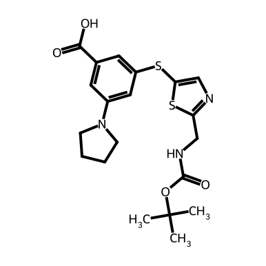 CC(C)(C)OC(=O)NCc1ncc(Sc2cc(C(=O)O)cc(N3CCCC3)c2)s1